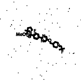 COC(=O)C1(C)CCCN1C(=O)c1ccc(-c2ncc(OCC3CCN(CC(C)(C)F)CC3)cn2)cc1F